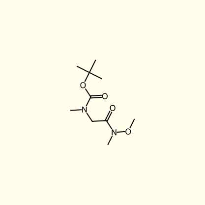 CON(C)C(=O)CN(C)C(=O)OC(C)(C)C